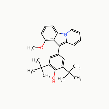 COc1cccc2c1c(-c1cc(C(C)(C)C)c(O)c(C(C)(C)C)c1)c1ccccn12